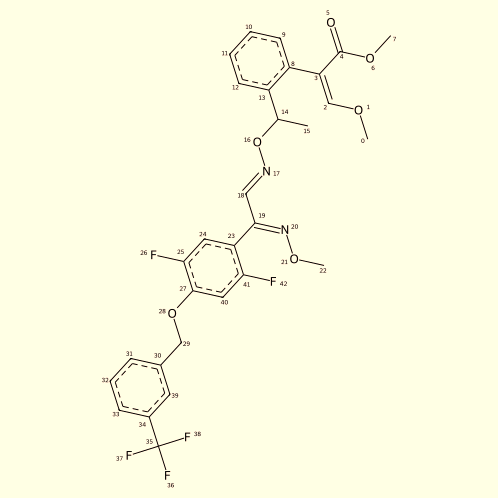 COC=C(C(=O)OC)c1ccccc1C(C)ON=CC(=NOC)c1cc(F)c(OCc2cccc(C(F)(F)F)c2)cc1F